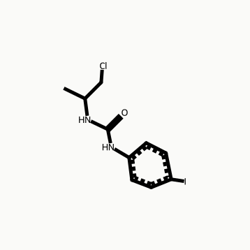 CC(CCl)NC(=O)Nc1ccc(I)cc1